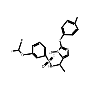 CCn1c(C(C)NS(=O)(=O)c2cccc(OC(F)F)c2)cnc1Oc1ccc(C)cc1